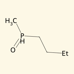 CCCC[PH](C)=O